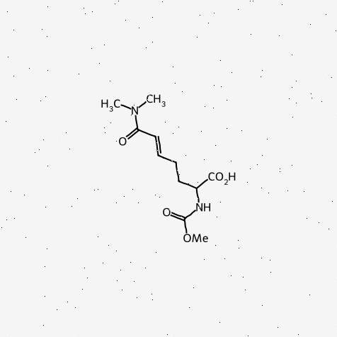 COC(=O)NC(CCC=CC(=O)N(C)C)C(=O)O